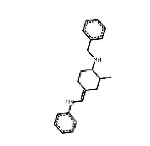 CC1CC(=CNc2ccccc2)CCC1NCc1ccccc1